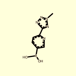 Cn1nnc(-c2ccc(B(O)O)cn2)n1